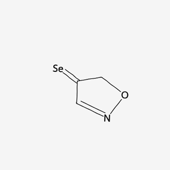 [Se]=C1C=NOC1